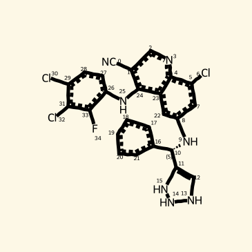 N#Cc1cnc2c(Cl)cc(N[C@H](C3=CNNN3)c3ccccc3)cc2c1Nc1ccc(Cl)c(Cl)c1F